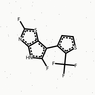 Fc1nc2[nH]c(F)c(-c3ccsc3C(F)(F)F)c2s1